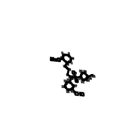 COc1ccccc1C=CCN(c1cccc(C=O)c1)S(=O)(=O)c1ccc(C)cc1